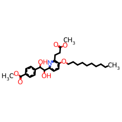 CCCCCCCCCCOc1ccc(C(O)C(O)c2ccc(C(=O)OC)cc2)nc1CCC(=O)OC